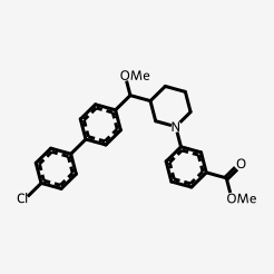 COC(=O)c1cccc(N2CCCC(C(OC)c3ccc(-c4ccc(Cl)cc4)cc3)C2)c1